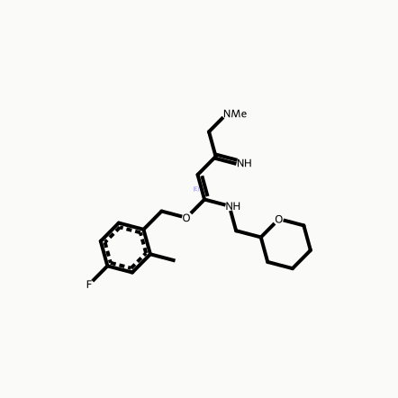 CNCC(=N)/C=C(\NCC1CCCCO1)OCc1ccc(F)cc1C